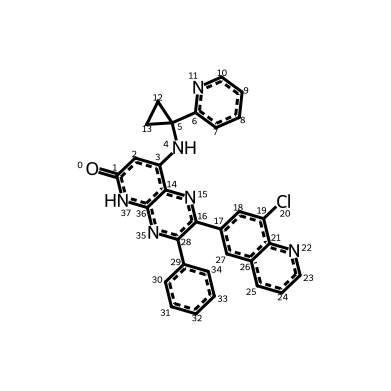 O=c1cc(NC2(c3ccccn3)CC2)c2nc(-c3cc(Cl)c4ncccc4c3)c(-c3ccccc3)nc2[nH]1